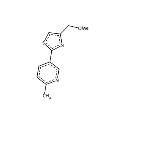 COCc1csc(-c2ccc(C)nc2)n1